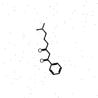 CC(C)CCCC(=O)CC(=O)c1ccccc1